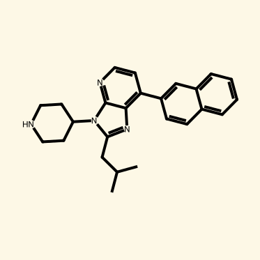 CC(C)Cc1nc2c(-c3ccc4ccccc4c3)ccnc2n1C1CCNCC1